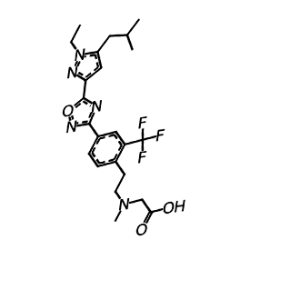 CCn1nc(-c2nc(-c3ccc(CCN(C)CC(=O)O)c(C(F)(F)F)c3)no2)cc1CC(C)C